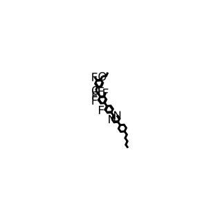 CCCCCC1CCC(c2cnc(-c3ccc(-c4cc(F)c(C(F)(F)Oc5ccc(OCC)c(F)c5)c(F)c4)c(F)c3)nc2)CC1